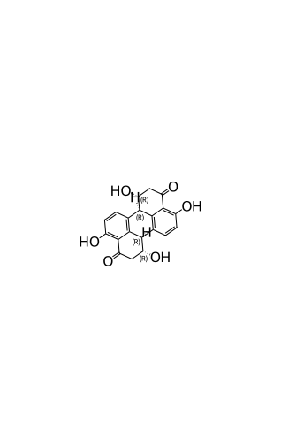 O=C1C[C@@H](O)[C@@H]2c3ccc(O)c4c3[C@@H](c3ccc(O)c1c32)[C@H](O)CC4=O